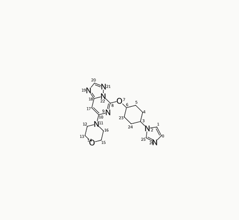 c1cn(C2CCC(Oc3nc(N4CCOCC4)cc4ncnn34)CC2)cn1